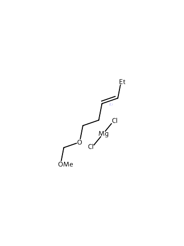 [CH2]C/C=C/CCOCOC.[Cl][Mg][Cl]